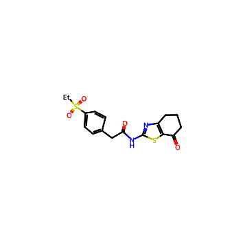 CCS(=O)(=O)c1ccc(CC(=O)Nc2nc3c(s2)C(=O)CCC3)cc1